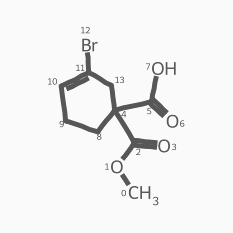 COC(=O)C1(C(=O)O)CCC=C(Br)C1